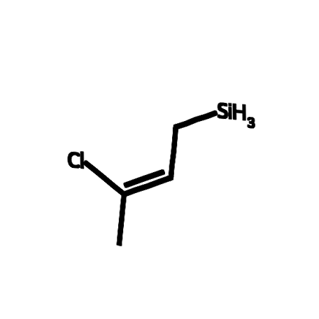 CC(Cl)=CC[SiH3]